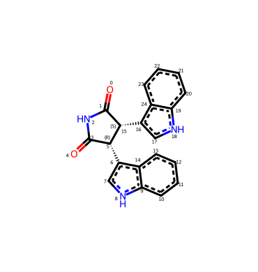 O=C1NC(=O)[C@@H](c2c[nH]c3ccccc23)[C@H]1c1c[nH]c2ccccc12